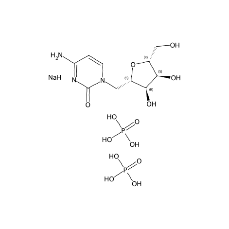 Nc1ccn(C[C@@H]2O[C@H](CO)[C@@H](O)[C@H]2O)c(=O)n1.O=P(O)(O)O.O=P(O)(O)O.[NaH]